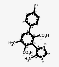 Cc1cc(-c2ccc(F)cc2)c(C(=O)O)c(-c2ncsc2N)c1C(=O)O